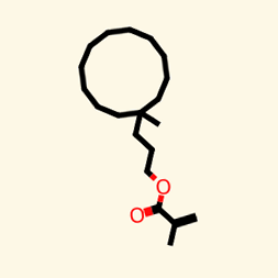 C=C(C)C(=O)OCCCC1(C)CCCCCCCCCCC1